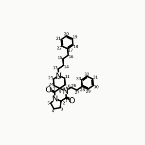 O=C1C2CCCN2C(=O)C2(CCN(CCCCc3ccccc3)CC2)N1CCc1ccccc1